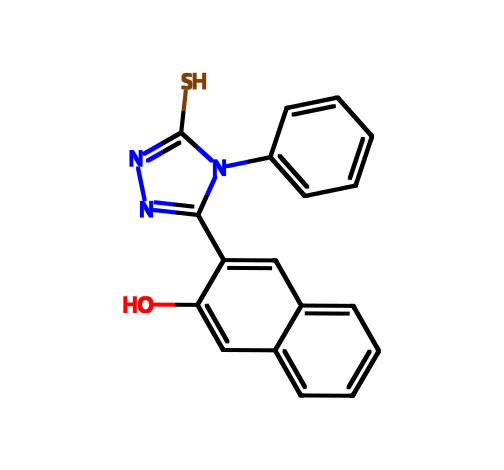 Oc1cc2ccccc2cc1-c1nnc(S)n1-c1ccccc1